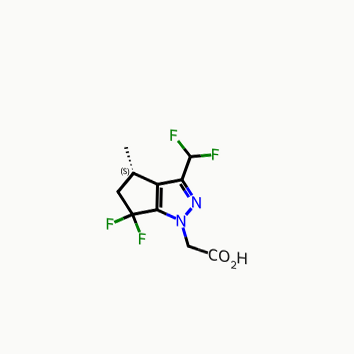 C[C@H]1CC(F)(F)c2c1c(C(F)F)nn2CC(=O)O